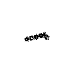 O=C(c1ccc(-c2ccc(N3CCN(C4CCCC4)CC3)nc2)cc1)N1CCOCC1